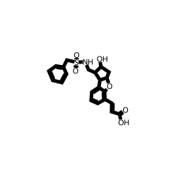 O=C(O)/C=C/c1cccc2c1OC1CC(O)C(CNS(=O)(=O)Cc3ccccc3)C21